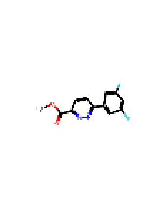 COC(=O)c1ccc(-c2cc(F)cc(F)c2)nn1